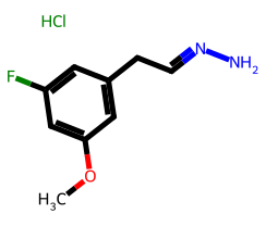 COc1cc(F)cc(CC=NN)c1.Cl